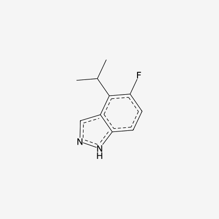 CC(C)c1c(F)ccc2[nH]ncc12